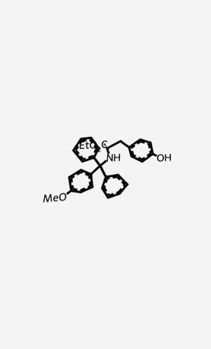 CCOC(=O)[C@H](Cc1ccc(O)cc1)NC(c1ccccc1)(c1ccccc1)c1ccc(OC)cc1